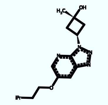 CC(C)CCOc1cnc2c(c1)nnn2[C@H]1C[C@](C)(O)C1